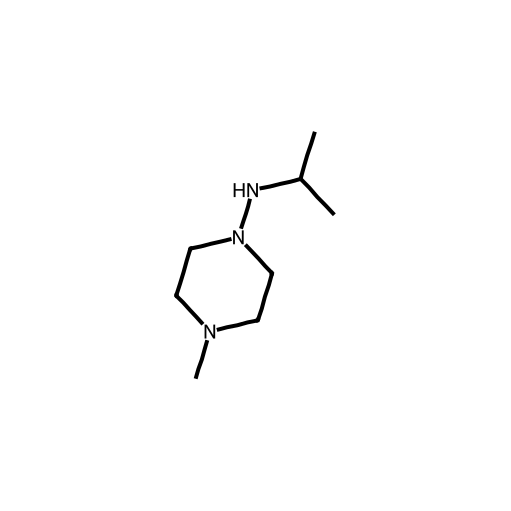 CC(C)NN1CCN(C)CC1